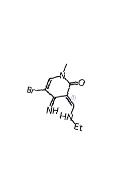 CCN/C=C1\C(=N)C(Br)=CN(C)C1=O